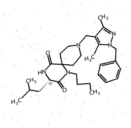 CCCCN1C(=O)[C@H](CC(C)C)NC(=O)C12CCN(Cc1c(C)nn(Cc3ccccc3)c1C)CC2